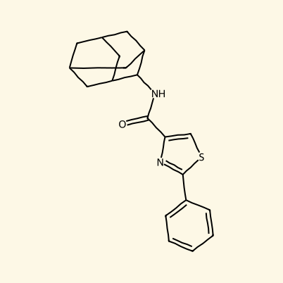 O=C(NC1C2CC3CC(C2)CC1C3)c1csc(-c2ccccc2)n1